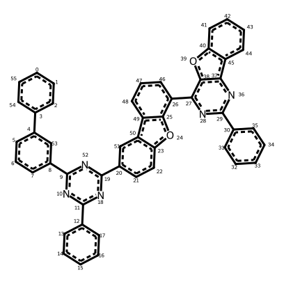 c1ccc(-c2cccc(-c3nc(-c4ccccc4)nc(-c4ccc5oc6c(-c7nc(-c8ccccc8)nc8c7oc7ccccc78)cccc6c5c4)n3)c2)cc1